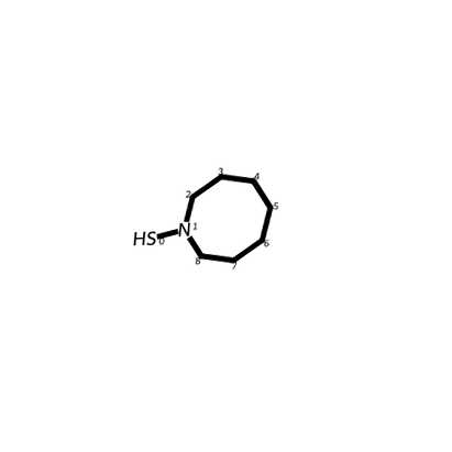 SN1CCCCCCC1